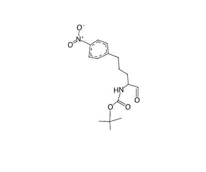 CC(C)(C)OC(=O)NC(C=O)CCCc1ccc([N+](=O)[O-])cc1